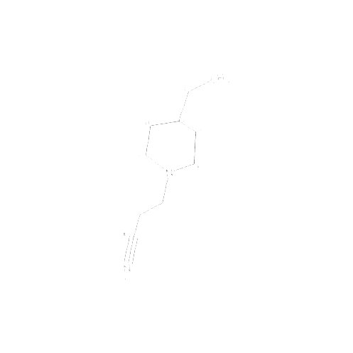 CCC1CCN(CCC#N)CC1